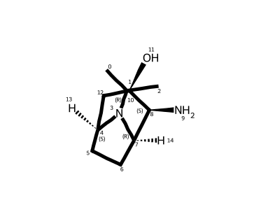 CC(C)N1[C@H]2CC[C@@H]1[C@H](N)[C@H](O)C2